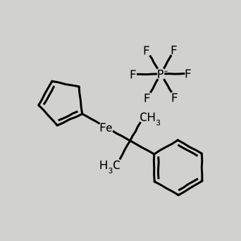 C[C](C)([Fe][C]1=CC=CC1)c1ccccc1.F[P-](F)(F)(F)(F)F